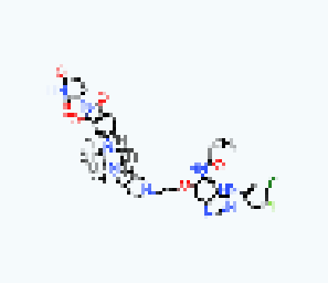 [2H]C1([2H])N(CC2CCN(CCCOc3cc4ncnc(Nc5ccc(F)c(Cl)c5)c4cc3NC(=O)C=C)CC2)C([2H])([2H])C([2H])([2H])N(c2ccc3c(c2)C(=O)N(C2CCC(=O)NC2=O)C3=O)C1([2H])[2H]